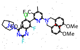 COc1ccc(CN(Cc2ccc(OC)cc2)c2cc(C)c(C(F)(F)F)c(-c3c(Cl)cc4c(N5CC6CCC(C5)N6C(=O)O)nc(F)nc4c3F)n2)cc1